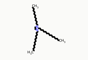 CCCCCCCCCCCCCCCC1N(CCCCCCCCCCCCC)C=CN1CCCCCCCCCCCCCC